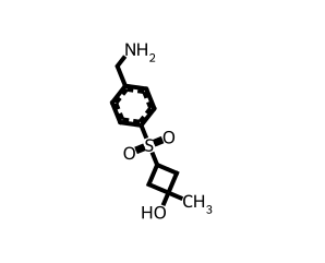 CC1(O)CC(S(=O)(=O)c2ccc(CN)cc2)C1